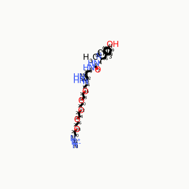 CN(C)[C@H](CNC(=O)NCCC1=CN(CCOCCOCCOCCOCCOCCN=[N+]=[N-])NN1)Cc1ccc(O)cc1